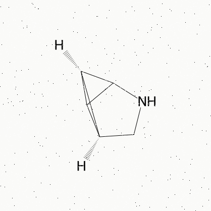 C1NC2C3[C@@H]2[C@@H]13